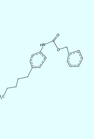 CCOC(=O)CCCCc1ccc(NC(=O)OCc2ccccc2)cc1